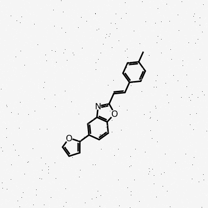 Cc1ccc(C=Cc2nc3cc(-c4ccco4)ccc3o2)cc1